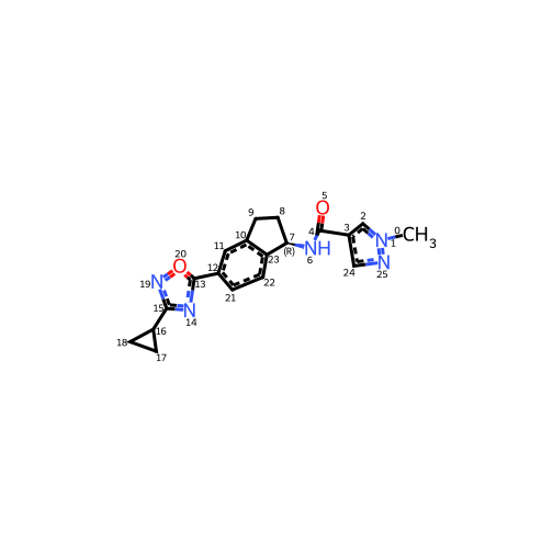 Cn1cc(C(=O)N[C@@H]2CCc3cc(-c4nc(C5CC5)no4)ccc32)cn1